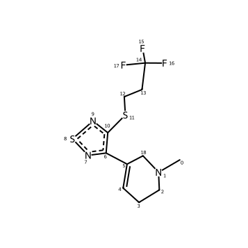 CN1CCC=C(c2nsnc2SCCC(F)(F)F)C1